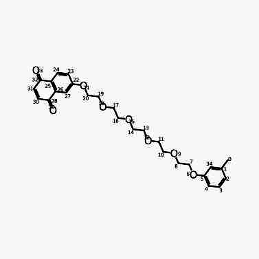 Cc1cccc(OCCOCCOCCOCCOCCOc2ccc3c(c2)C(=O)C=CC3=O)c1